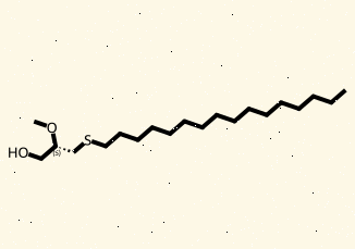 CCCCCCCCCCCCCCCCSC[C@H](CO)OC